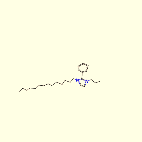 CCCCCCCCCCCCCC[n+]1ccn(CCC)c1-c1ccccc1